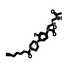 C#CCCCCC(=O)N1CCN(c2ccc(N3C[C@H](CNC(C)=O)OC3=O)cc2F)CC1